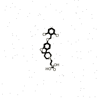 O=P(O)(O)CCN1CCC2(CC1)COc1cc(OCc3c(Cl)cccc3Cl)ccc12